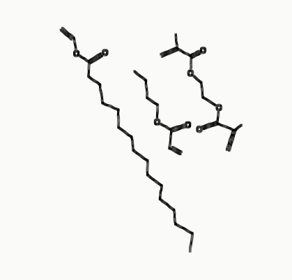 C=C(C)C(=O)OCCOC(=O)C(=C)C.C=CC(=O)OCCCC.C=COC(=O)CCCCCCCCCCCCCCC